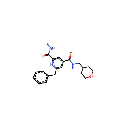 CNC(=O)c1cc(C(=O)NCC2CCOCC2)cc(Cc2ccccc2)n1